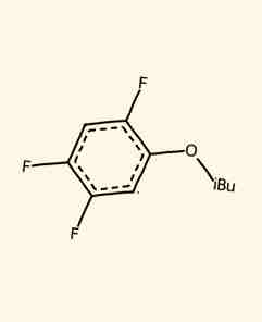 CCC(C)Oc1[c]c(F)c(F)cc1F